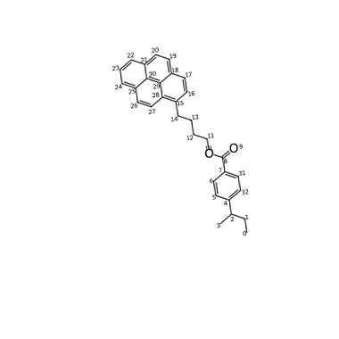 CCC(C)c1ccc(C(=O)OCCCCc2ccc3ccc4cccc5ccc2c3c45)cc1